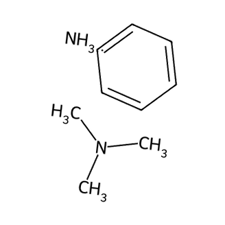 CN(C)C.N.[c]1ccccc1